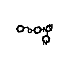 c1ccc(COc2ccc(-n3cncc3-c3ccncc3)cc2)cc1